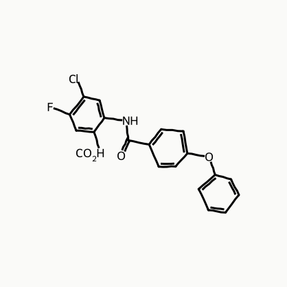 O=C(Nc1cc(Cl)c(F)cc1C(=O)O)c1ccc(Oc2ccccc2)cc1